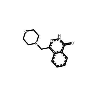 O=c1[nH]nc(CN2CCOCC2)c2ccccc12